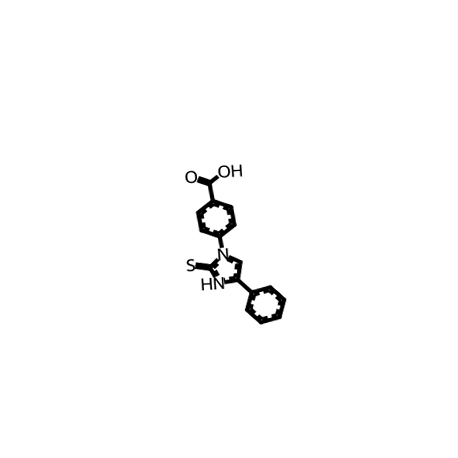 O=C(O)c1ccc(-n2cc(-c3ccccc3)[nH]c2=S)cc1